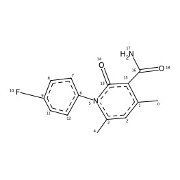 Cc1cc(C)n(-c2ccc(F)cc2)c(=O)c1C(N)=O